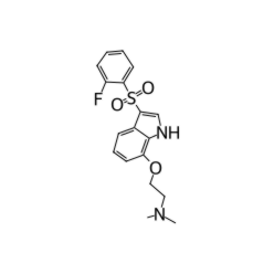 CN(C)CCOc1cccc2c(S(=O)(=O)c3ccccc3F)c[nH]c12